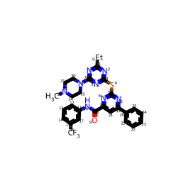 CCc1nc(Sc2nc(C(=O)Nc3cccc(C(F)(F)F)c3)cc(-c3ccccc3)n2)nc(N2CCN(C)CC2)n1